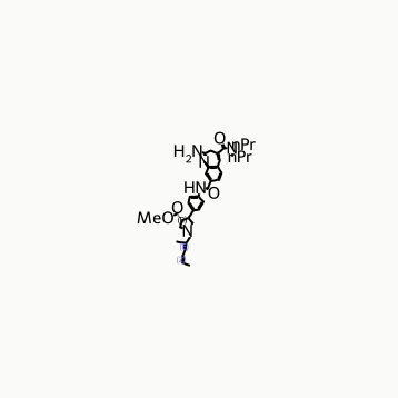 C/C=C\C=C(/C)CN1CC(c2ccc(NC(=O)c3ccc4c(c3)N=C(N)CC(C(=O)N(CCC)CCC)=C4)cc2)[C@@H](C(=O)OC)C1